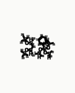 C[SiH](C)O[Si](O[SiH](C)C)(O[SiH](C)C)c1ccccc1.C[SiH](C[SiH](C)O[Si](C)(C)C)O[Si](C)(C)C